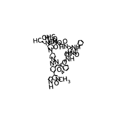 C#CCNC1(C)CCN(C2CCN(c3nc([C@@](COCNC(=O)CNC(=O)[C@H](Cc4ccccc4)NC(=O)CNC(=O)COC(=O)NOC=O)(OC4CC4)c4ccccc4)c4cc(-c5cn(C)c(=O)c6[nH]ccc56)ccc4n3)CC2)CC1